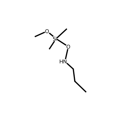 CCCNO[Si](C)(C)OC